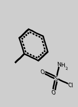 Cc1ccccc1.NS(=O)(=O)Cl